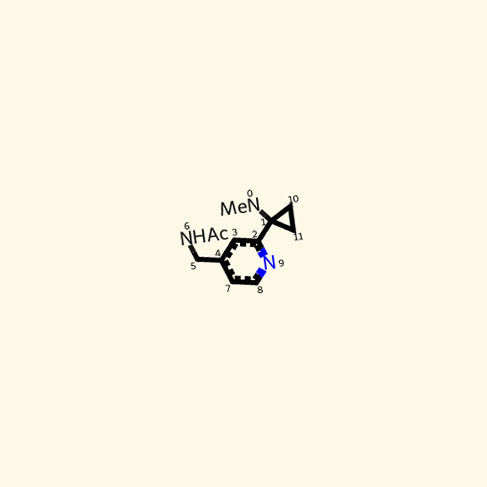 CNC1(c2cc(CNC(C)=O)ccn2)CC1